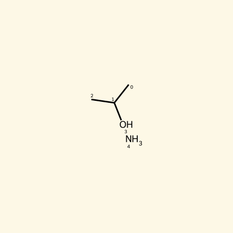 CC(C)O.N